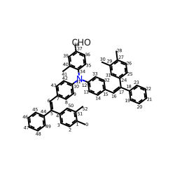 Cc1ccc(/C(=C\c2ccc(N(c3ccc(/C=C(/c4ccccc4)c4ccc(C)c(C)c4)cc3)c3ccc(C=O)cc3C)cc2)c2ccccc2)cc1C